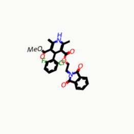 COC(=O)C1=C(C)NC(C)=C(C(=O)OCCN2C(=O)c3ccccc3C2=O)C1c1c(F)cccc1Cl